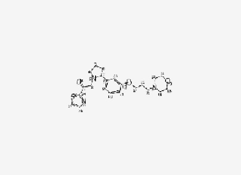 O=C(CN1CCCC1c1cccc(OCCCN2CCOCC2)c1)c1nccs1